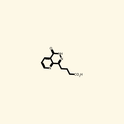 O=C(O)CCCc1n[nH]c(=O)c2cccnc12